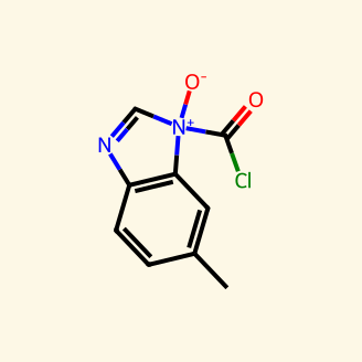 Cc1ccc2c(c1)[N+]([O-])(C(=O)Cl)C=N2